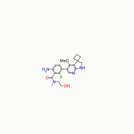 COc1c(-c2ccc(N)c(C(=O)N(C)CCO)c2F)cnc2c1C1(CCC1)CN2